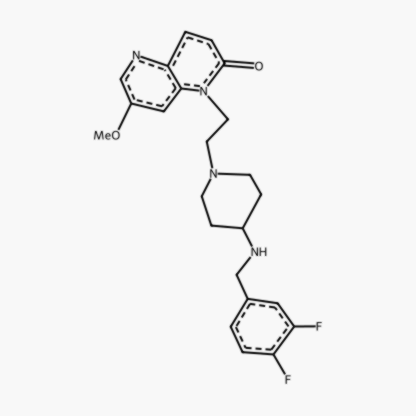 COc1cnc2ccc(=O)n(CCN3CCC(NCc4ccc(F)c(F)c4)CC3)c2c1